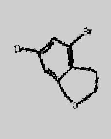 Clc1cc(Br)c2c(c1)COCC2